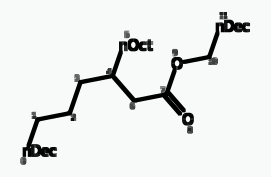 CCCCCCCCCCCCCC(CCCCCCCC)CC(=O)OCCCCCCCCCCC